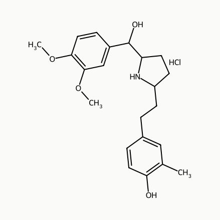 COc1ccc(C(O)C2CCC(CCc3ccc(O)c(C)c3)N2)cc1OC.Cl